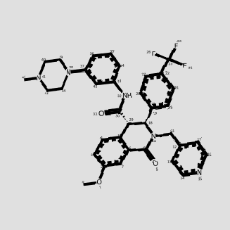 COc1ccc2c(c1)C(=O)N(Cc1ccncc1)[C@H](c1ccc(C(F)(F)F)cc1)[C@H]2C(=O)Nc1cccc(N2CCN(C)CC2)c1